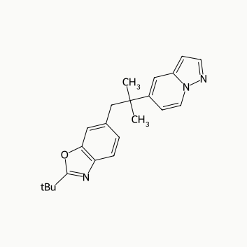 CC(C)(C)c1nc2ccc(CC(C)(C)c3ccn4nccc4c3)cc2o1